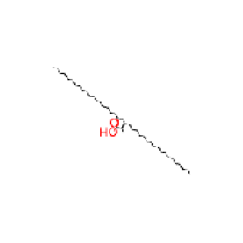 CCCCCCCCCCCCCCCCCCCCC(CCCCCCCCCCCCCCCCCC)=C(C)C(=O)O